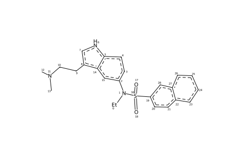 CCN(c1ccc2[nH]cc(CCN(C)C)c2c1)S(=O)(=O)c1ccc2ccccc2c1